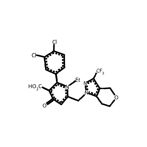 CCn1c(Cn2nc(C(F)(F)F)c3c2CCOC3)cc(=O)c(C(=O)O)c1-c1ccc(Cl)c(Cl)c1